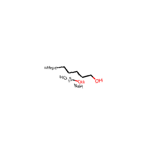 CCCCCCCCCCCCO.O=S(=O)(O)O.[NaH]